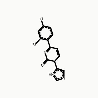 O=C1N=C(c2ccc(Cl)cc2Cl)C=CC1c1cnc[nH]1